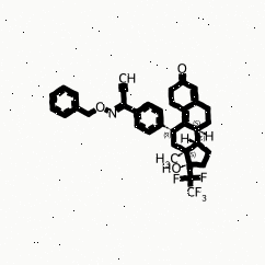 C#CC(=NOCc1ccccc1)c1ccc([C@H]2C[C@@]3(C)[C@@H](CC[C@@]3(O)C(F)(F)C(F)(F)F)[C@@H]3CCC4=CC(=O)CCC4=C32)cc1